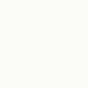 CCCCCC1CC=C(c2ccc(-c3ccc(C(C)CCCC)cc3)cc2)CC1